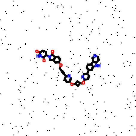 O=C1CCC(N2Cc3cc(OCC#Cc4ccc(OC5CC(Oc6ccc(-c7ccc8c(c7)[nH]c7ccncc78)cn6)C5)cn4)ccc3C2=O)C(=O)N1